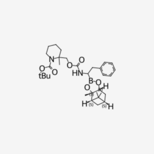 CC(C)(C)OC(=O)N1CCCCC1(C)COC(=O)NC(Cc1ccccc1)B1O[C@@H]2C[C@@H]3C[C@@H](C3(C)C)[C@]2(C)O1